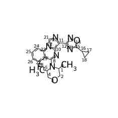 CC1COCC(C)N1c1nc2c(-c3noc(C4CC4)n3)ncn2c2cccc(F)c12